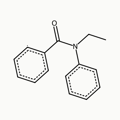 CCN(C(=O)c1[c]cccc1)c1ccccc1